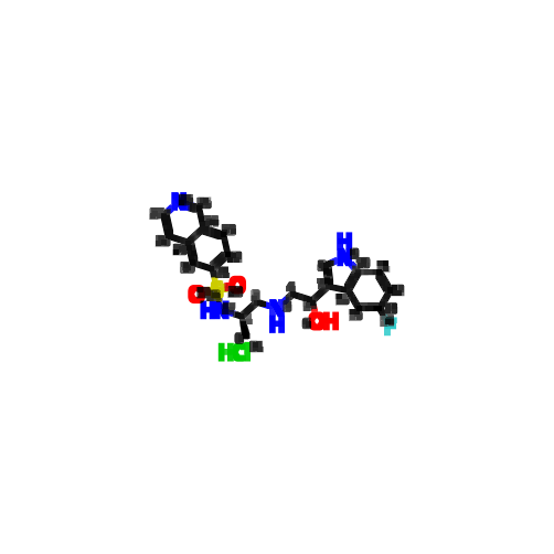 C[C@H](CNCC(O)c1c[nH]c2ccc(F)cc12)NS(=O)(=O)c1ccc2cnccc2c1.Cl